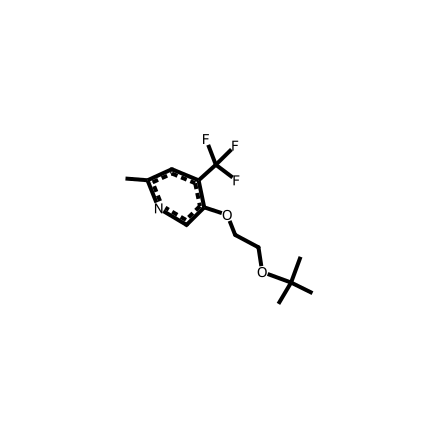 Cc1cc(C(F)(F)F)c(OCCOC(C)(C)C)cn1